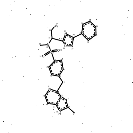 Cc1nc2c(Cc3ccc(S(=O)(=O)N(C)C(CC(C)C)c4nc(-c5ccccc5)no4)cc3)nccc2[nH]1